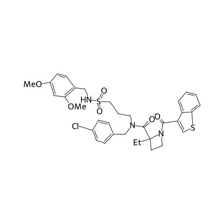 CCC1(C(=O)N(CCCS(=O)(=O)NCc2ccc(OC)cc2OC)Cc2ccc(Cl)cc2)CCN1C(=O)c1csc2ccccc12